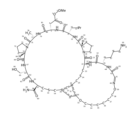 COOC(=O)C[C@@H]1NC(=O)[C@H](CC(C)C)NC(=O)[C@@H]2CCCN2C(=O)[C@@H]2CSCc3cc(cc(c3)OCCCCCCO/N=C/C(=O)N[C@@H](CCCCN)C(=O)N2)CSC[C@@H](C(N)=O)NC(=O)[C@H](CO)NC(=O)[C@@H]2CCCN2C(=O)[C@H](C)NC1=O